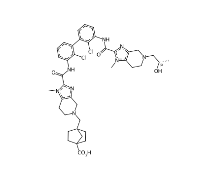 C[C@H](O)CN1CCc2c(nc(C(=O)Nc3cccc(-c4cccc(NC(=O)c5nc6c(n5C)CCN(CC57CCC(C(=O)O)(CC5)C7)C6)c4Cl)c3Cl)n2C)C1